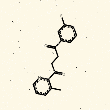 Cc1cccnc1C(=O)CCC(=O)c1cccc(F)c1